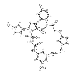 CC(C)N(C(=O)COc1nnc(C(F)(F)F)s1)c1ccc(F)cc1.COc1cc(OC)nc(NC(=O)NS(=O)(=O)c2c(-c3nnn(C)n3)cnn2C)n1